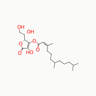 CC(=CC(=O)OC1=C(O)C(=O)O[C@@H]1[C@@H](O)CO)CCCC(C)CCCC(C)C